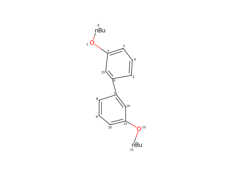 CCCCOc1cc[c]c(-c2[c]ccc(OCCCC)c2)c1